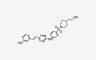 O=S(=O)(c1ccc(Nc2ncc(/C=C/c3cccc(O)c3)cn2)cc1)N1CCC(CCO)CC1